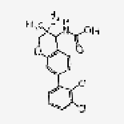 CC1(C)COc2cc(-c3cccc(Cl)c3Cl)ccc2C1NC(=O)O